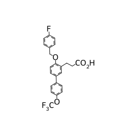 O=C(O)CCc1cc(-c2ccc(OC(F)(F)F)cc2)ccc1OCc1ccc(F)cc1